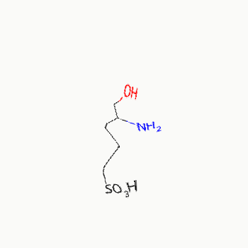 NC(CO)CCCS(=O)(=O)O